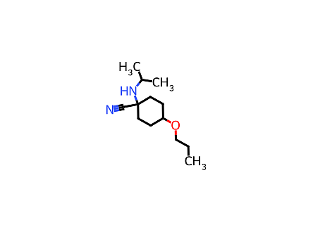 CCCOC1CCC(C#N)(NC(C)C)CC1